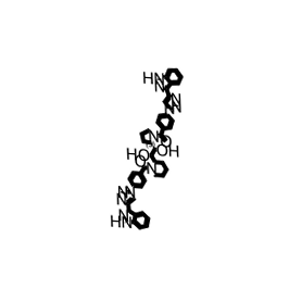 O=C(c1ccc(-n2cc(-c3n[nH]c4ccccc34)nn2)cc1)N1CCCCC1C(O)C(O)[C@@H]1CCCN1C(=O)c1ccc(-n2cc(-c3n[nH]c4ccccc34)nn2)cc1